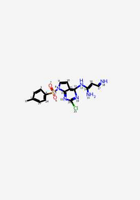 Cc1ccc(S(=O)(=O)n2ccc3c(N/C(N)=C/C=N)nc(Cl)nc32)cc1